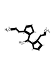 C=CCC1=C(C(C)C2=C(CC=C)C=CC2)CC=C1